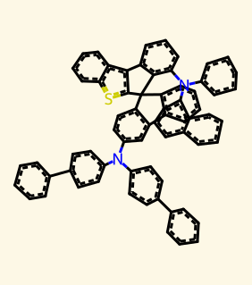 c1ccc(-c2ccc(N(c3ccc(-c4ccccc4)cc3)c3ccc4c(c3)-c3ccccc3C43c4sc5ccccc5c4-c4cccc(N(c5ccccc5)c5cccc6ccccc56)c43)cc2)cc1